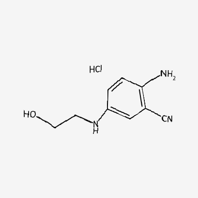 Cl.N#Cc1cc(NCCO)ccc1N